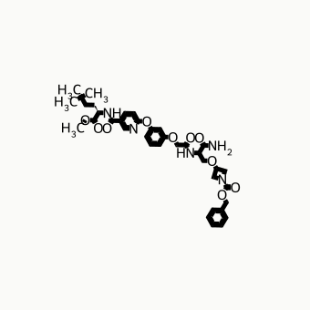 COC(=O)[C@H](CCC(C)(C)C)NC(=O)c1ccc(Oc2cccc(OCC(=O)NC(COC3CN(C(=O)OCc4ccccc4)C3)C(N)=O)c2)nc1